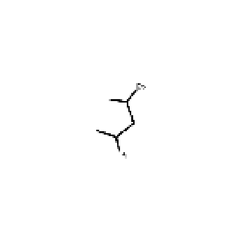 C[CH]C(C)CC(C)C(C)C